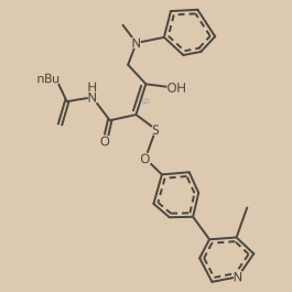 C=C(CCCC)NC(=O)/C(SOc1ccc(-c2ccncc2C)cc1)=C(/O)CN(C)c1ccccc1